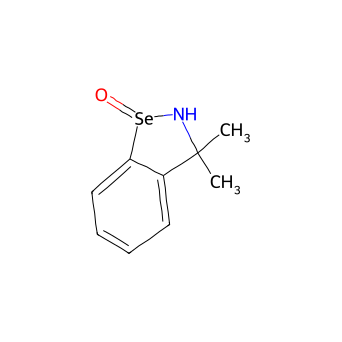 CC1(C)N[Se](=O)c2ccccc21